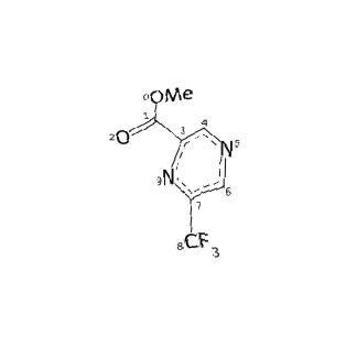 COC(=O)c1cncc(C(F)(F)F)n1